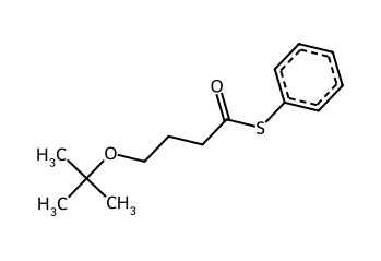 CC(C)(C)OCCCC(=O)Sc1ccccc1